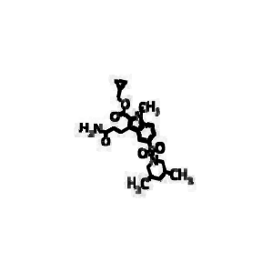 CC1CC(C)CN(S(=O)(=O)c2ccc3c(c2)c(CCC(N)=O)c(C(=O)OCC2CC2)n3C)C1